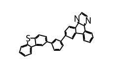 c1cc(-c2ccc3sc4ccccc4c3c2)cc(-c2ccc3c(c2)c2ccccc2c2nccnc32)c1